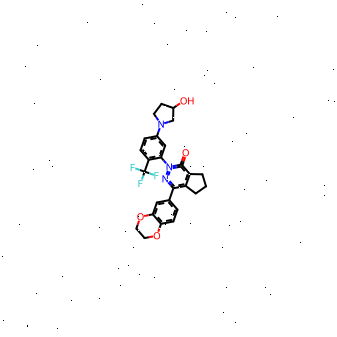 O=c1c2c(c(-c3ccc4c(c3)OCCO4)nn1-c1cc(N3CCC(O)C3)ccc1C(F)(F)F)CCC2